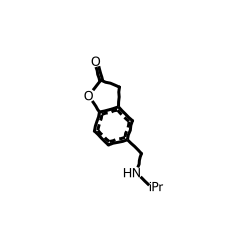 CC(C)NCc1ccc2c(c1)CC(=O)O2